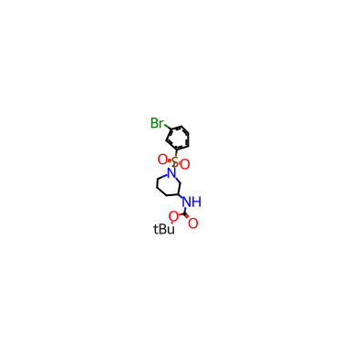 CC(C)(C)OC(=O)NC1CCCN(S(=O)(=O)c2cccc(Br)c2)C1